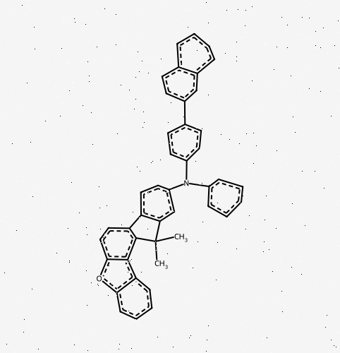 CC1(C)c2cc(N(c3ccccc3)c3ccc(-c4ccc5ccccc5c4)cc3)ccc2-c2ccc3oc4ccccc4c3c21